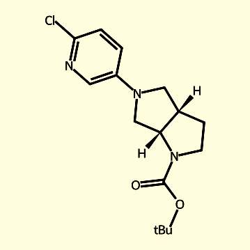 CC(C)(C)OC(=O)N1CC[C@H]2CN(c3ccc(Cl)nc3)C[C@H]21